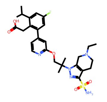 CCN1CCc2c(S(N)(=O)=O)nn(C(C)(C)COc3cc(-c4cc(F)cc(C(C)C)c4CC(=O)O)ccn3)c2C1